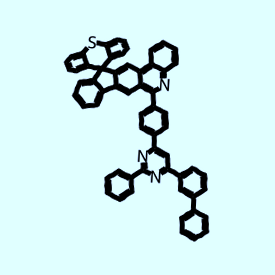 c1ccc(-c2cccc(-c3cc(-c4ccc(-c5nc6ccccc6c6cc7c(cc56)-c5ccccc5C75c6ccccc6Sc6ccccc65)cc4)nc(-c4ccccc4)n3)c2)cc1